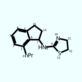 CCCc1cccc2c1C(NC1=NCCS1)CC2